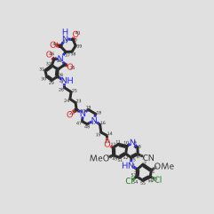 COc1cc(Nc2c(C#N)cnc3cc(OCCCN4CCN(C(=O)CCCCNc5cccc6c5C(=O)N(C5CCC(=O)NC5=O)C6=O)CC4)c(OC)cc23)c(Cl)cc1Cl